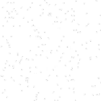 COc1cc(-c2ccc(NC3CC(C(=O)O)CCO3)cc2C#CC2CCOC2)cc(OC)c1C